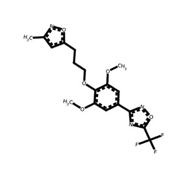 COc1cc(-c2noc(C(F)(F)F)n2)cc(OC)c1OCCCc1cc(C)no1